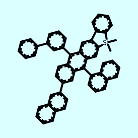 C[Si]1(C)c2ccccc2-c2cc3c(-c4cccc(-c5ccccc5)c4)c4ccc(-c5ccc6ccccc6c5)cc4c(-c4cccc5ccccc45)c3cc21